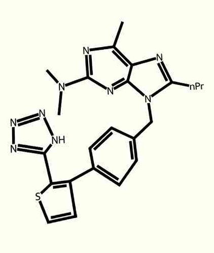 CCCc1nc2c(C)nc(N(C)C)nc2n1Cc1ccc(-c2ccsc2-c2nnn[nH]2)cc1